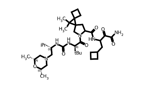 CC(C)[C@@H](CN1C[C@@H](C)O[C@@H](C)C1)NC(=O)N[C@@H](C(=O)N1CC2(CC1C(=O)NC(CC1CCC1)C(=O)C(N)=O)C(C)(C)C21CCC1)C(C)(C)C